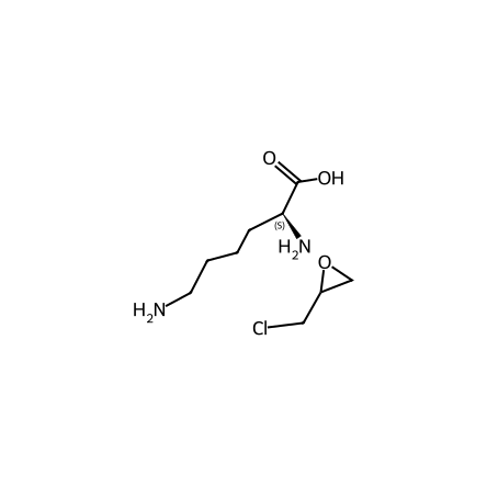 ClCC1CO1.NCCCC[C@H](N)C(=O)O